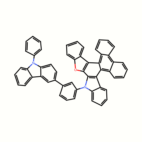 c1ccc(-n2c3ccccc3c3cc(-c4cccc(-n5c6ccccc6c6c7c8ccccc8c8ccccc8c7c7c8ccccc8oc7c65)c4)ccc32)cc1